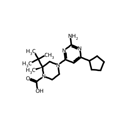 CC(C)(C)[C@]1(C)CN(c2cc(C3CCCC3)nc(N)n2)CCN1C(=O)O